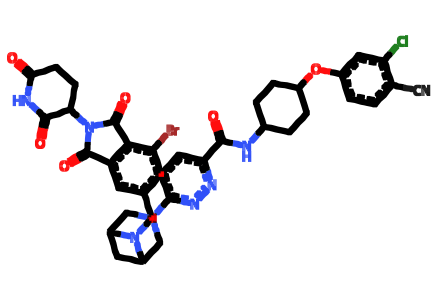 N#Cc1ccc(OC2CCC(NC(=O)c3ccc(N4CC5CC(C4)N5Cc4cc(Br)c5c(c4)C(=O)N(C4CCC(=O)NC4=O)C5=O)nn3)CC2)cc1Cl